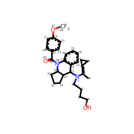 CC(=C1CC1)N(CCCCO)C1c2ccccc2N(C(=O)c2ccc(OC(F)(F)F)cc2)C2CCCC12